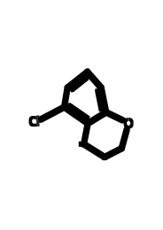 Clc1cccc2c1[C]CCO2